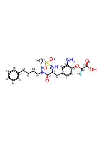 CS(=O)(=O)N[C@@H](Cc1ccc(OC(F)C(=O)O)c(N)c1)C(=O)NCCCCc1ccccc1